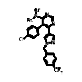 CC(=O)N(C(C)=O)c1ncnc(-c2cnn(Cc3ccc(C(F)(F)F)cc3)c2)c1-c1ccc(Cl)cc1